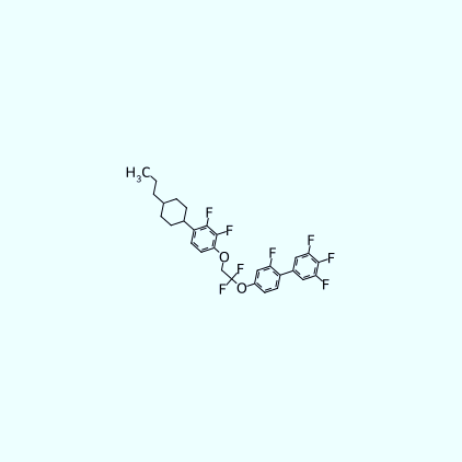 CCCC1CCC(c2ccc(OCC(F)(F)Oc3ccc(-c4cc(F)c(F)c(F)c4)c(F)c3)c(F)c2F)CC1